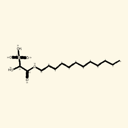 CCCCCCCCCCCCOC(=O)C(O)S(=O)(=O)O